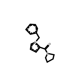 O=C(c1cccn1Cc1ccccc1)N1CCCC1